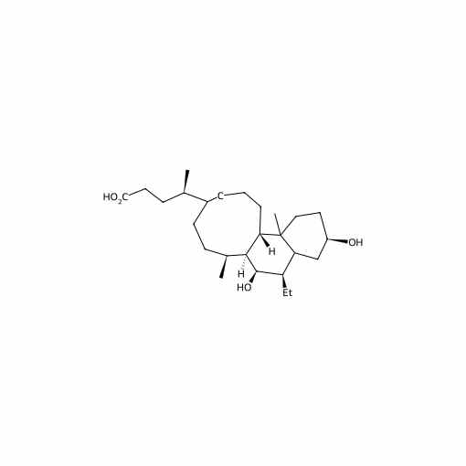 CC[C@@H]1C2C[C@H](O)CCC2(C)[C@H]2CCCC([C@H](C)CCC(=O)O)CC[C@H](C)[C@@H]2[C@@H]1O